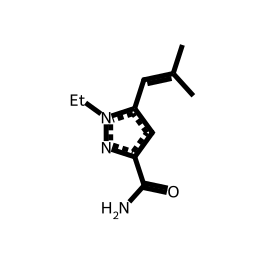 CCn1nc(C(N)=O)cc1C=C(C)C